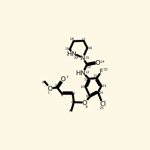 COC(=O)C=CC(C)Oc1cc(NC(=O)N2CCCCN2)c(F)cc1Cl